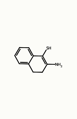 NC1=C(S)c2ccccc2CC1